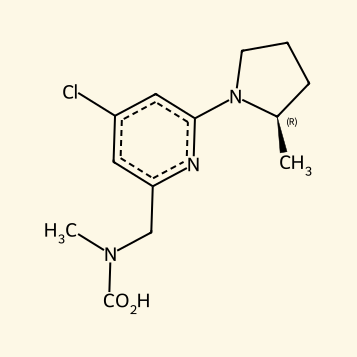 C[C@@H]1CCCN1c1cc(Cl)cc(CN(C)C(=O)O)n1